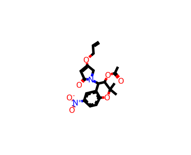 C=CCOC1=CC(=O)N(C2c3cc([N+](=O)[O-])ccc3OC(C)(C)C2OC(C)=O)C1